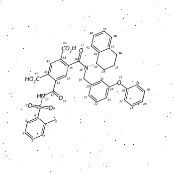 Cc1ccccc1S(=O)(=O)NC(=O)c1cc(C(=O)N(Cc2cccc(Oc3ccccc3)c2)[C@H]2CCCc3ccccc32)c(C(=O)O)cc1C(=O)O